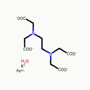 O.O=C([O-])CN(CCN(CC(=O)[O-])CC(=O)[O-])CC(=O)[O-].[Fe+3].[K+]